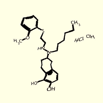 CCCCCCN(NCCSc1ccccc1OC)C1CCc2c(ccc(O)c2O)C1.Cl.Cl